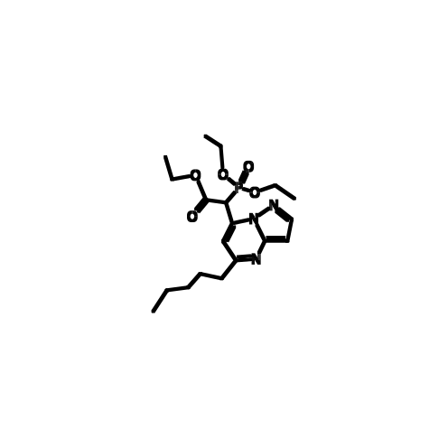 CCCCCc1cc(C(C(=O)OCC)P(=O)(OCC)OCC)n2nccc2n1